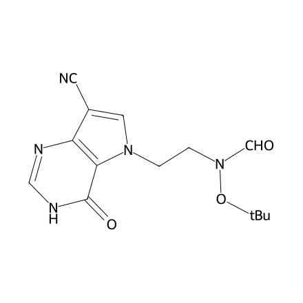 CC(C)(C)ON(C=O)CCn1cc(C#N)c2nc[nH]c(=O)c21